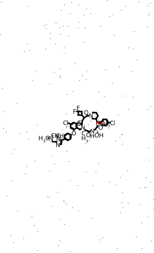 C[C@H]1C(=O)N[C@@H](CO)C(=O)N(C)[C@@]2(Cc3ccc(Cl)cc3)CCCN(C2)C(=O)C(C2CC(F)(F)C2)CC(=O)N1Cc1c(F)cc(Cl)cc1Oc1ccc(-c2cnc(CN(C)C)n2C)cc1